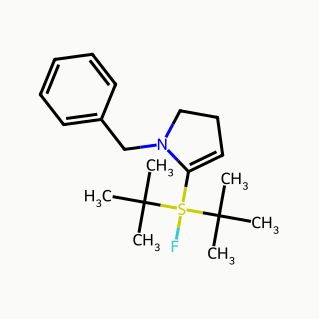 CC(C)(C)S(F)(C1=CCCN1Cc1ccccc1)C(C)(C)C